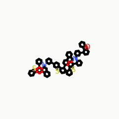 c1cc(-c2ccc3c(c2)sc2cccc(-c4ccc5c(c4)cc(N(c4cccc(-c6cccc7oc8ccccc8c67)c4)c4ccccc4-c4cccc6c4sc4ccccc46)c4ccccc45)c23)cc(N(c2ccccc2-c2cccc3c2sc2ccccc23)c2cc3ccccc3c3ccccc23)c1